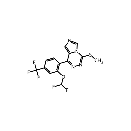 CSc1nnc(-c2ccc(C(F)(F)F)cc2OC(F)F)c2cncn12